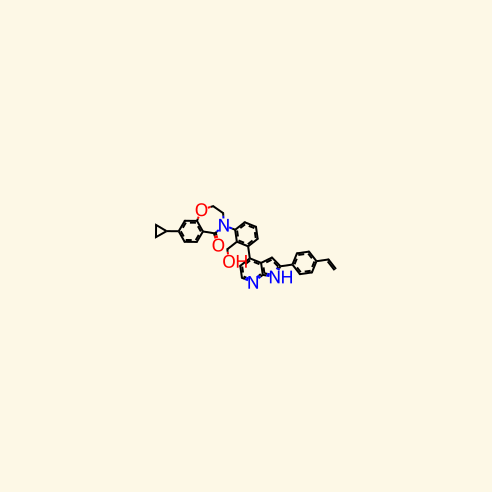 C=Cc1ccc(-c2cc3c(-c4cccc(N5CCOc6cc(C7CC7)ccc6C5=O)c4CO)ccnc3[nH]2)cc1